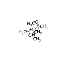 CCON(C)C.COC(C)C